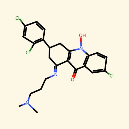 CN(C)CCCN=C1CC(c2ccc(Cl)cc2Cl)Cc2c1c(=O)c1cc(Cl)ccc1n2O